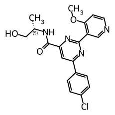 COc1ccncc1-c1nc(C(=O)N[C@@H](C)CO)cc(-c2ccc(Cl)cc2)n1